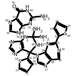 NC1(N)NC2=C(N=C[N]2)C(c2cccs2)(n2cnc3cnc(-c4cccs4)nc32)N1.Nc1nc2[nH]cnc2c(=O)[nH]1